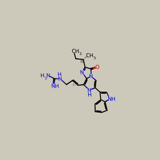 CC[C@H](C)c1nc2c(/C=C/CNC(=N)N)[nH]c(-c3c[nH]c4ccccc34)cn-2c1=O